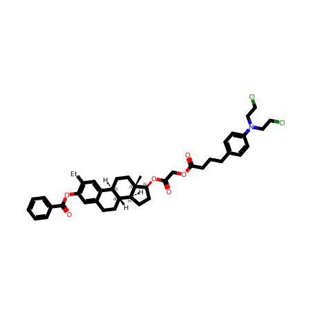 CCc1cc2c(cc1OC(=O)c1ccccc1)CC[C@@H]1[C@@H]2CC[C@]2(C)[C@@H](OC(=O)COC(=O)CCCc3ccc(N(CCCl)CCCl)cc3)CC[C@@H]12